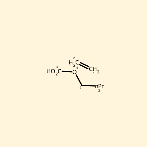 C=C.CCCCOC(=O)O